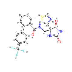 O=C1NC(=O)[C@@](CNC(=O)c2ccccc2-c2ccc(C(F)(F)F)cc2)(c2cscn2)N1